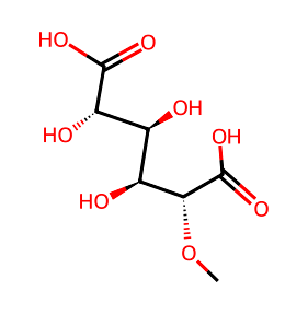 CO[C@@H](C(=O)O)[C@@H](O)[C@H](O)[C@H](O)C(=O)O